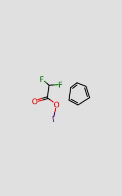 O=C(OI)C(F)F.c1ccccc1